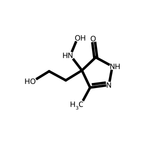 CC1=NNC(=O)C1(CCO)NO